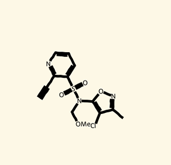 C#Cc1ncccc1S(=O)(=O)N(COC)c1onc(C)c1Cl